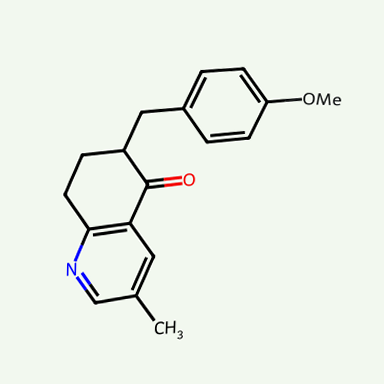 COc1ccc(CC2CCc3ncc(C)cc3C2=O)cc1